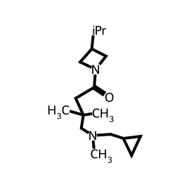 CC(C)C1CN(C(=O)CC(C)(C)CN(C)CC2CC2)C1